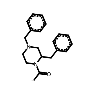 [CH2]C(=O)N1CCN(Cc2ccccc2)CC1Cc1ccccc1